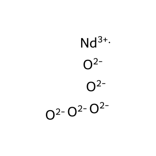 [Nd+3].[O-2].[O-2].[O-2].[O-2].[O-2]